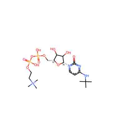 CC(C)(C)Nc1ccn([C@@H]2O[C@H](COP(=O)(O)OP(=O)(O)OCC[N+](C)(C)C)C(O)C2O)c(=O)n1